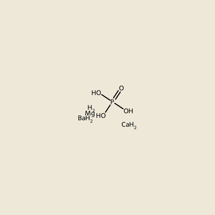 O=P(O)(O)O.[BaH2].[CaH2].[MgH2]